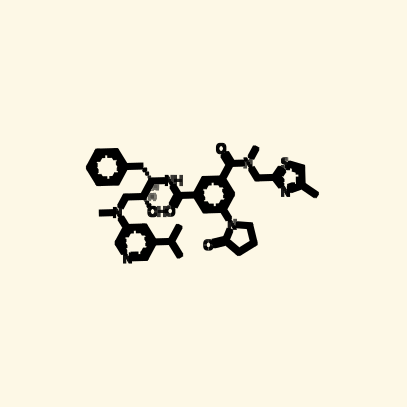 Cc1csc(CN(C)C(=O)c2cc(C(=O)N[C@@H](Cc3ccccc3)[C@H](O)CN(C)c3cncc(C(C)C)c3)cc(N3CCCC3=O)c2)n1